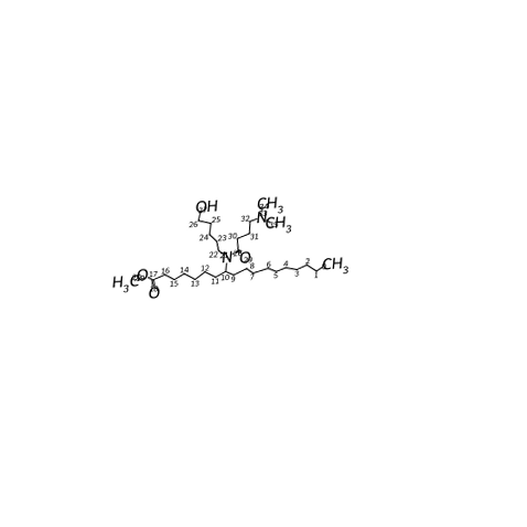 CCCCCCCCCCC(CCCCCCC(=O)OC)N(CCCCCO)C(=O)CCCN(C)C